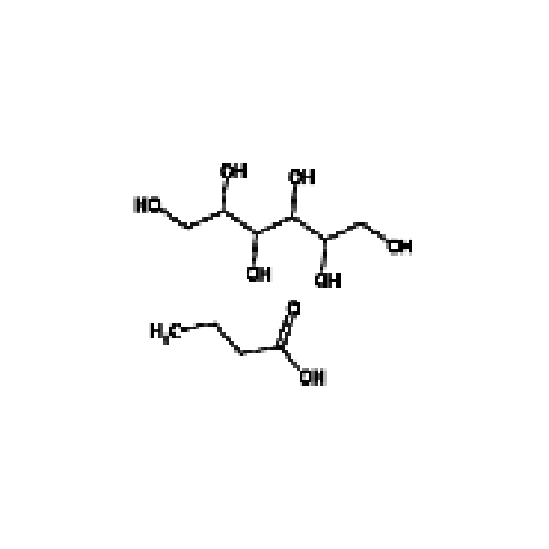 CCCC(=O)O.OCC(O)C(O)C(O)C(O)CO